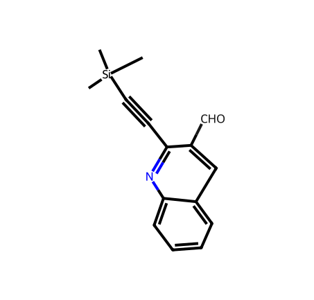 C[Si](C)(C)C#Cc1nc2ccccc2cc1C=O